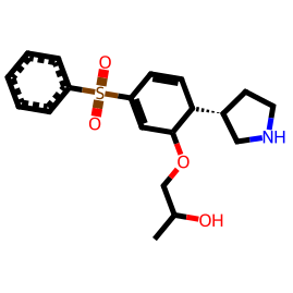 CC(O)COC1C=C(S(=O)(=O)c2ccccc2)C=CC1[C@@H]1CCNC1